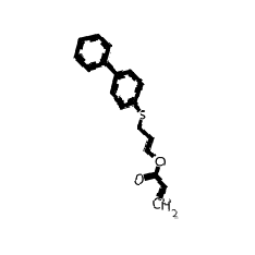 C=CC(=O)OCCCSc1ccc(-c2ccccc2)cc1